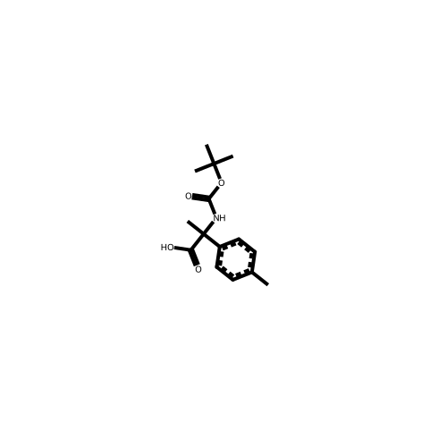 Cc1ccc(C(C)(NC(=O)OC(C)(C)C)C(=O)O)cc1